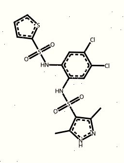 Cc1n[nH]c(C)c1S(=O)(=O)Nc1cc(Cl)c(Cl)cc1NS(=O)(=O)c1cccs1